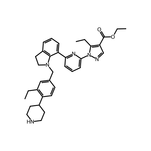 CCOC(=O)c1cnn(-c2cccc(-c3cccc4c3N(Cc3ccc(C5CCNCC5)c(CC)c3)CC4)n2)c1CC